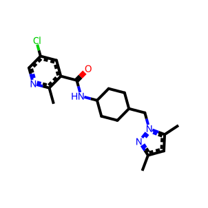 Cc1cc(C)n(CC2CCC(NC(=O)c3cc(Cl)cnc3C)CC2)n1